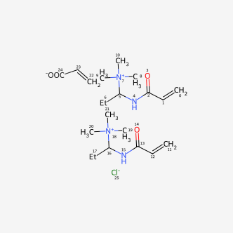 C=CC(=O)NC(CC)[N+](C)(C)C.C=CC(=O)NC(CC)[N+](C)(C)C.C=CC(=O)[O-].[Cl-]